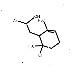 CC(=O)C(O)CC1C(C)=CCCC1(C)C